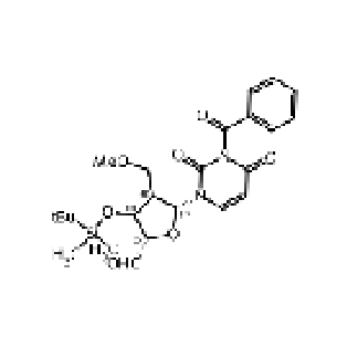 COC[C@@H]1[C@H](O[Si](C)(C)C(C)(C)C)[C@@H](C=O)O[C@H]1n1ccc(=O)n(C(=O)c2ccccc2)c1=O